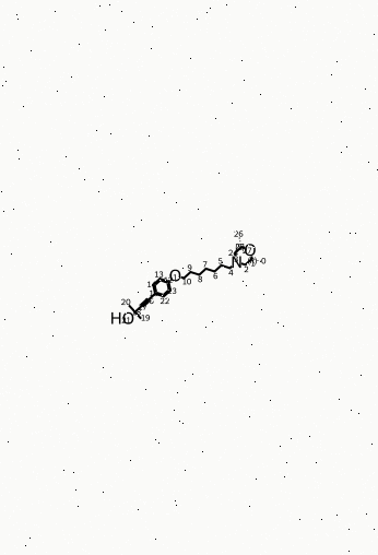 C[C@@H]1CN(CCCCCCCOc2ccc(C#CC(C)(C)O)cc2)C[C@H](C)O1